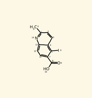 Cc1ccc2c(I)c(C(=O)O)ccc2n1